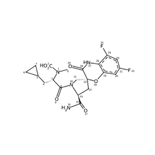 CN(C(=O)O)[C@@H](CC1CC1)C(=O)N1C[C@@]2(C[C@H]1C(N)=O)Oc1cc(F)cc(F)c1NC2=O